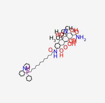 C[C@H]1c2ccc(NC(=O)CCCCCCCCCCC[PH](c3ccccc3)(c3ccccc3)c3ccccn3)c(O)c2C(=O)C2=C(O)[C@]3(O)C(=O)C(C(N)=O)=C(O)[C@@H](N(C)C)[C@@H]3[C@@H](O)[C@@H]21